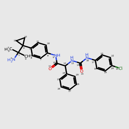 CC(C)(N)C1(c2ccc(NC(=O)C(NC(=O)Nc3ccc(Cl)cc3)c3ccccc3)cc2)CC1